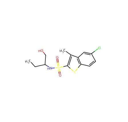 CCC(CO)NS(=O)(=O)c1sc2ccc(Cl)cc2c1C